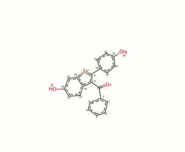 O=C(c1ccccc1)c1c(-c2ccc(O)cc2)sc2cc(O)ccc12